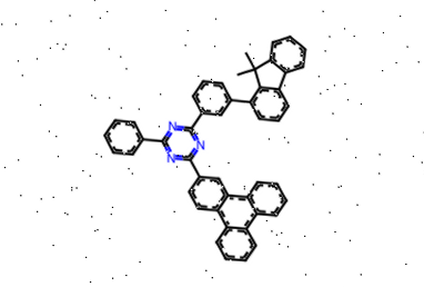 CC1(C)c2ccccc2-c2cccc(-c3cccc(-c4nc(-c5ccccc5)nc(-c5ccc6c7ccccc7c7ccccc7c6c5)n4)c3)c21